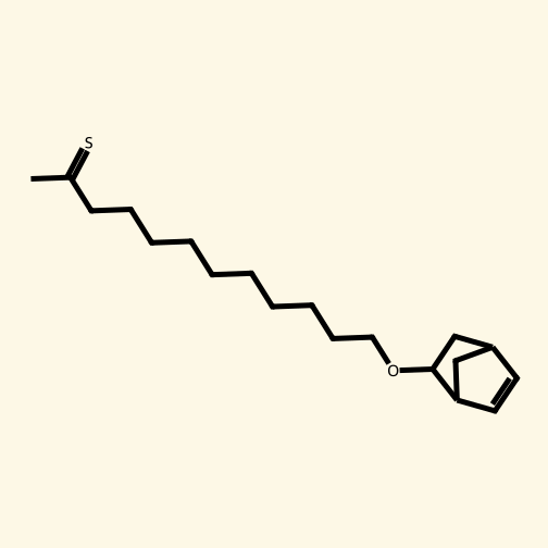 CC(=S)CCCCCCCCCCOC1CC2C=CC1C2